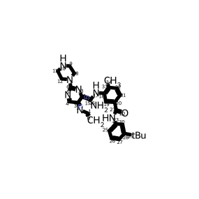 C=C/N=C1/C=NC(N2CCNCC2)=N/C1=C(/N)Nc1cc(C(=O)Nc2cccc(C(C)(C)C)c2)ccc1C